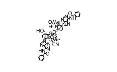 CO[C@H]1[C@@H](O)[C@@H](COP(=S)(OCCC#N)O[C@@H]2[C@H](OC)[C@H](n3cnc4c(NC(=O)c5ccccc5)ncnc43)O[C@@H]2CO)O[C@H]1n1cnc2c(NC(=O)c3ccccc3)ncnc21